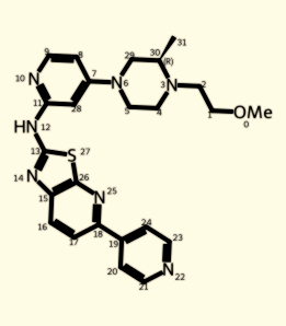 COCCN1CCN(c2ccnc(Nc3nc4ccc(-c5ccncc5)nc4s3)c2)C[C@H]1C